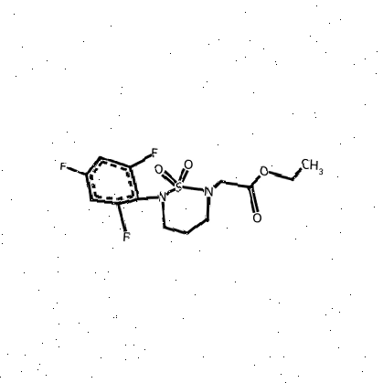 CCOC(=O)CN1CCCN(c2c(F)cc(F)cc2F)S1(=O)=O